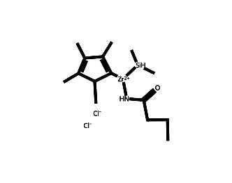 CCCC(=O)[NH][Zr+2]([C]1=C(C)C(C)=C(C)C1C)[SiH](C)C.[Cl-].[Cl-]